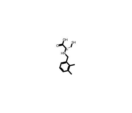 Cc1cccc(CN[C@@H](CS)C(=O)O)c1C